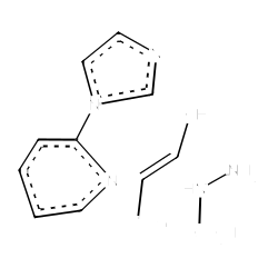 C/C=C/C=O.NNC(=O)O.c1ccc(-n2ccnc2)nc1